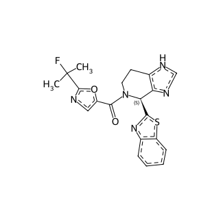 CC(C)(F)c1ncc(C(=O)N2CCc3[nH]cnc3[C@H]2c2nc3ccccc3s2)o1